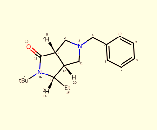 [2H][C@@]12CN(Cc3ccccc3)C[C@@H]1[C@]([2H])(CC)N(C(C)(C)C)C2=O